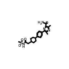 Cc1nc(C)c(-c2ccc(C3CCC(CC(=O)NS(C)(=O)=O)CC3)cc2)nc1C(N)=O